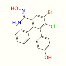 N/C(=N\O)c1cc(Br)c(Cl)c(-c2ccc(O)cc2)c1-c1ccccc1